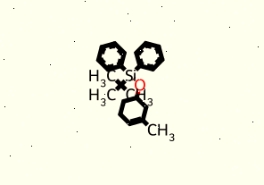 CC1=CCCC(O[Si](c2ccccc2)(c2ccccc2)C(C)(C)C)C1